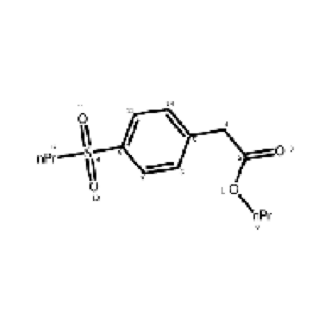 CCCOC(=O)Cc1ccc(S(=O)(=O)CCC)cc1